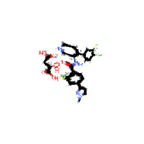 Cn1ccc(-c2ccc(C(=O)N[C@@H]3CNCC[C@H]3c3ccc(F)c(F)c3)c(F)c2)n1.O=C(O)C[C@@H](O)C(=O)O